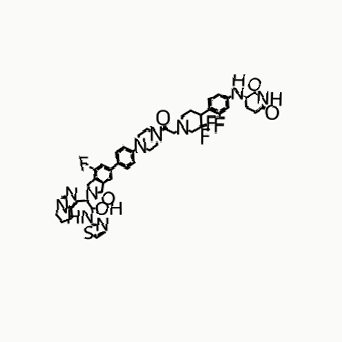 O=C1CCC(Nc2ccc(C3CCN(CC(=O)N4CCN(c5ccc(-c6cc(F)c7c(c6)C(=O)N(C(c6ncn8c6CCC8)C(O)Nc6nccs6)C7)cc5)CC4)CC3(F)F)c(F)c2)C(=O)N1